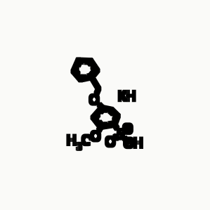 COc1cc(OCc2ccccc2)ccc1S(=O)(=O)O.[KH]